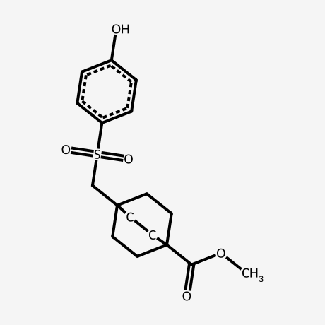 COC(=O)C12CCC(CS(=O)(=O)c3ccc(O)cc3)(CC1)CC2